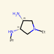 CCN1C[C@@H](N)[C@@H](NC(C)C)C1